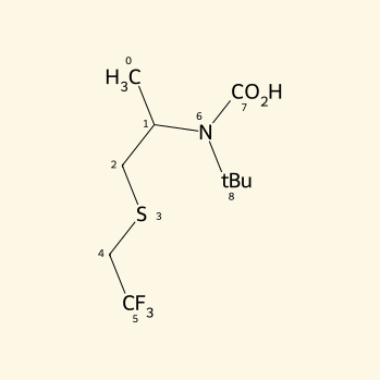 CC(CSCC(F)(F)F)N(C(=O)O)C(C)(C)C